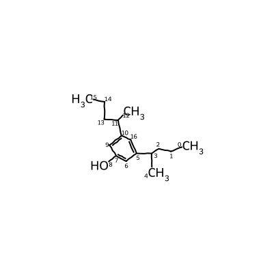 CCCC(C)c1cc(O)cc(C(C)CCC)c1